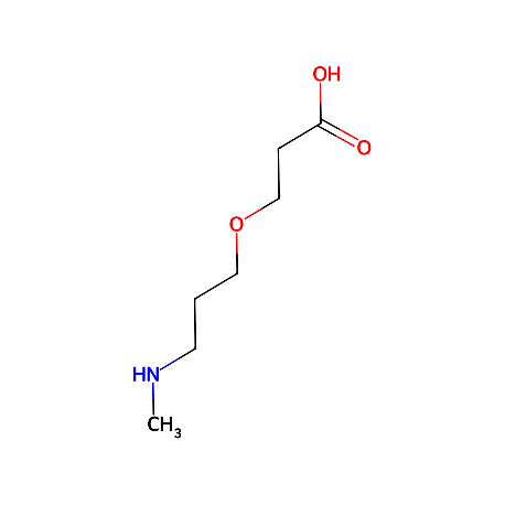 CNCCCOCCC(=O)O